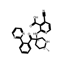 C[C@@H]1CC[C@](Nc2nccc(C#N)c2C(=O)O)(C(=O)c2ccccc2-c2ncccn2)CN1